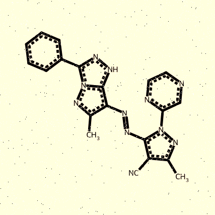 Cc1nn(-c2cnccn2)c(/N=N/c2c(C)nn3c(-c4ccccc4)n[nH]c23)c1C#N